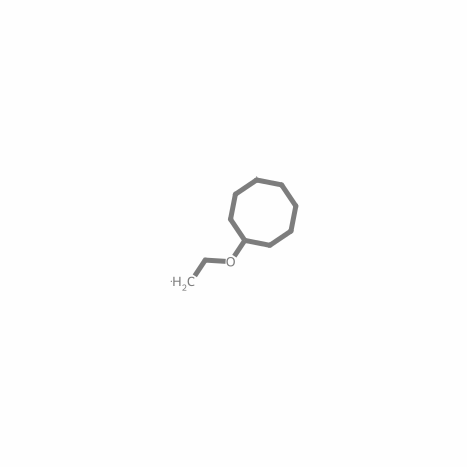 [CH2]COC1CC[CH]CCCC1